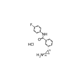 Cl.N[C@@H]1C[C@H]1c1cccc(C(=O)Nc2ccc(F)cc2)c1